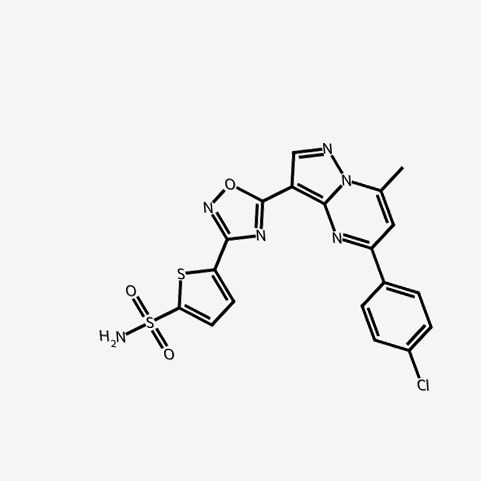 Cc1cc(-c2ccc(Cl)cc2)nc2c(-c3nc(-c4ccc(S(N)(=O)=O)s4)no3)cnn12